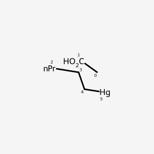 CC(=O)O.CCCC[CH2][Hg]